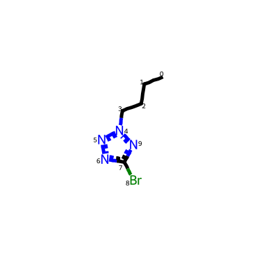 CCCCn1nnc(Br)n1